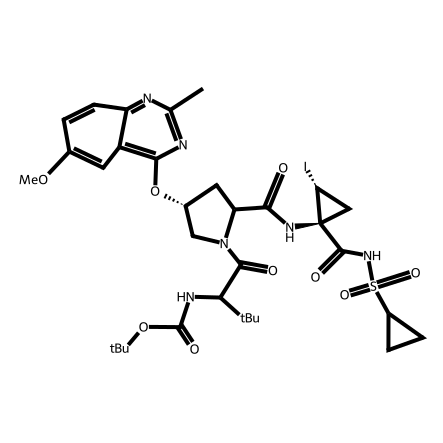 COc1ccc2nc(C)nc(O[C@@H]3CC(C(=O)N[C@]4(C(=O)NS(=O)(=O)C5CC5)C[C@H]4I)N(C(=O)C(NC(=O)OC(C)(C)C)C(C)(C)C)C3)c2c1